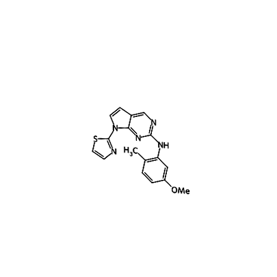 COc1ccc(C)c(Nc2ncc3ccn(-c4nccs4)c3n2)c1